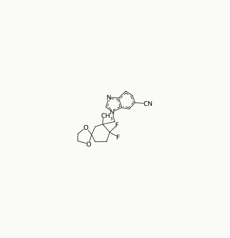 CC1(Cn2cnc3ccc(C#N)cc32)CC2(CCC1(F)F)OCCO2